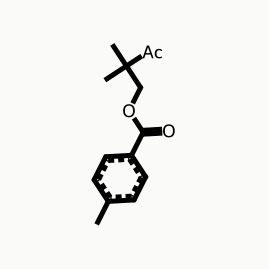 CC(=O)C(C)(C)COC(=O)c1ccc(C)cc1